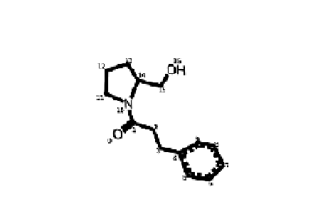 O=C(CCc1ccccc1)N1CCCC1CO